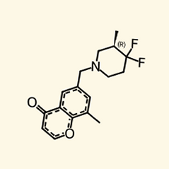 Cc1cc(CN2CCC(F)(F)[C@H](C)C2)cc2c(=O)ccoc12